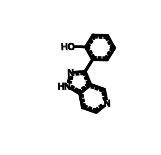 Oc1ccccc1-c1n[nH]c2ccncc12